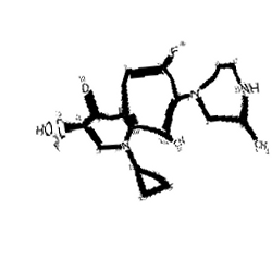 CC1CN(c2c(F)cc3c(=O)c(C(=O)O)cn(C4CC4)c3c2C#N)CCN1